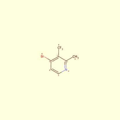 Cc1nccc(Br)c1C(F)(F)F